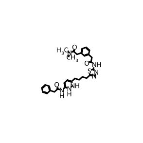 CN(C)C(=O)Cc1cccc(CC(=O)Nc2nnc(CCCCC3=CC=C(NC(=O)Cc4ccccc4)NN3)s2)c1